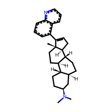 CN(C)[C@H]1CC[C@H]2[C@@H](CC[C@@H]3[C@@H]2CC[C@]2(C)C(c4cccc5ncccc45)=CC[C@@H]32)C1